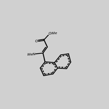 CNC(=CC(=O)OC)c1cccc2ccccc12